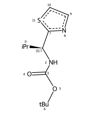 CC(C)[C@H](NC(=O)OC(C)(C)C)c1nccs1